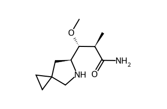 CO[C@@H]([C@@H]1CC2(CC2)CN1)[C@@H](C)C(N)=O